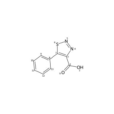 O=C(O)c1nnsc1-c1ccccc1